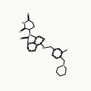 O=C1CCC(N2C(=O)c3cccc4c(NCc5ccc(CN6CCCCC6)c(F)c5)ccc2c34)C(=O)N1